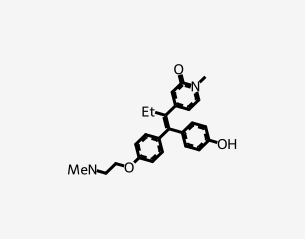 CCC(=C(c1ccc(O)cc1)c1ccc(OCCNC)cc1)c1ccn(C)c(=O)c1